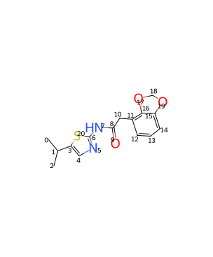 CC(C)c1cnc(NC(=O)Cc2cccc3c2OCO3)s1